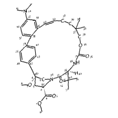 COC(=O)[C@@H]1C[C@]2(OC)CN1C(=O)[C@H](C(C)(C)C)NC(=O)OCC(C)(C)CCC=Cc1cc(N(C)C)ccc1-c1ccc2cc1